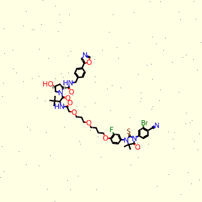 CC(C)(C)C(NC(=O)COCCCOCCCCOc1ccc(N2C(=S)N(c3ccc(C#N)c(Br)c3)C(=O)C2(C)C)cc1F)C(=O)N1C[C@H](O)C[C@H]1C(=O)NCc1ccc(-c2cnco2)cc1